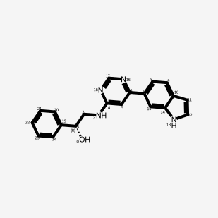 O[C@@H](CNc1cc(-c2ccc3cc[nH]c3c2)ncn1)c1ccccc1